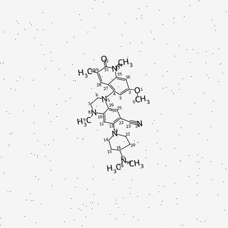 COc1cc(N2CCN(C)c3cc(N4CCC(N(C)C)CC4)c(C#N)cc32)c2cc(C)c(=O)n(C)c2c1